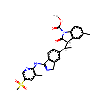 Cc1ccc2c(c1)[C@]1(C[C@H]1c1ccc3c(c1)CN=C3Nc1ncc(S(C)(=O)=O)cc1C)C(=O)N2C(=O)OC(C)(C)C